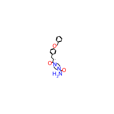 NC(=O)N1CCN(C(=O)[CH]Cc2ccc(OCc3ccccc3)cc2)CC1